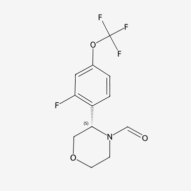 O=CN1CCOC[C@@H]1c1ccc(OC(F)(F)F)cc1F